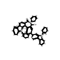 O=c1c2cc(-c3cc4c(cn3)c3ccccc3n4-c3ccccc3)ccc2c2c(ccc3c4ccccc4n(-c4ccccc4)c32)c(=O)n1-c1ccccc1